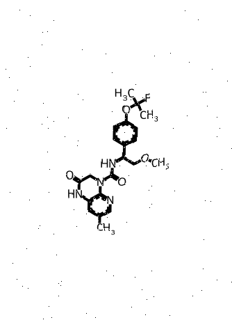 COCC(NC(=O)N1CC(=O)Nc2cc(C)cnc21)c1ccc(OC(C)(C)F)cc1